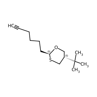 C#CCCCC[C@H]1OC[C@H](C(C)(C)C)CS1